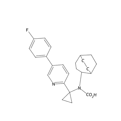 O=C(O)N(C1CCC2CCC1CC2)C1(c2ccc(-c3ccc(F)cc3)cn2)CC1